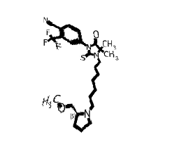 COC[C@@H]1CCCN1CCCCCCCN1C(=S)N(c2ccc(C#N)c(C(F)(F)F)c2)C(=O)C1(C)C